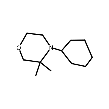 CC1(C)COCCN1C1CCCCC1